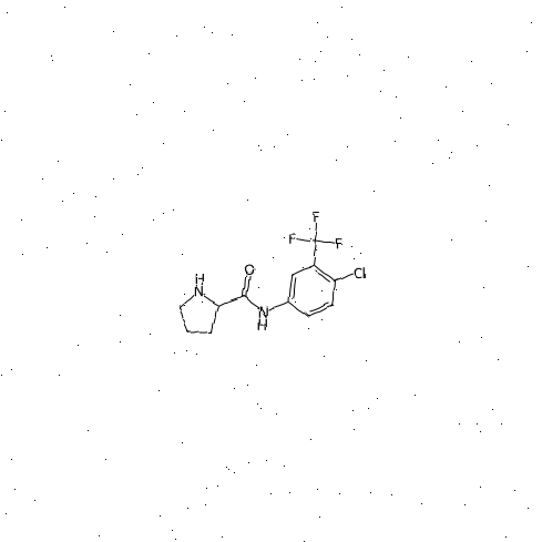 O=C(Nc1ccc(Cl)c(C(F)(F)F)c1)C1CCCN1